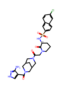 Nc1n[nH]cc1C(=O)N1CC2CC(CN(C(=O)CN3CCC[C@H](NS(=O)(=O)c4ccc5cc(Cl)ccc5c4)C3=O)C2)C1